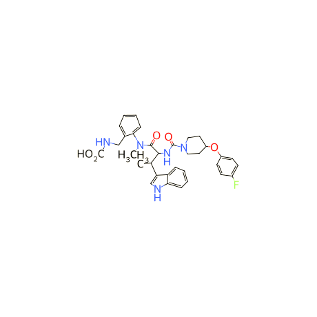 CC(c1c[nH]c2ccccc12)C(NC(=O)N1CCC(Oc2ccc(F)cc2)CC1)C(=O)N(C)c1ccccc1CNC(=O)O